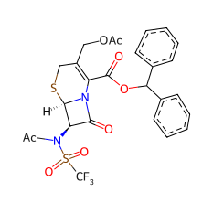 CC(=O)OCC1=C(C(=O)OC(c2ccccc2)c2ccccc2)N2C(=O)[C@@H](N(C(C)=O)S(=O)(=O)C(F)(F)F)[C@H]2SC1